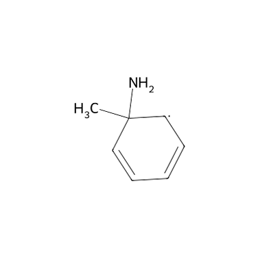 CC1(N)[CH]C=CC=C1